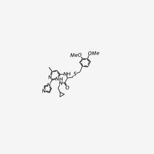 COc1ccc(CSCC(Nc2cc(C)nc(-n3ccnc3)n2)C(=O)NCC2CC2)cc1OC